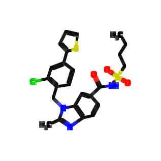 CCCCS(=O)(=O)NC(=O)c1ccc2nc(C)n(Cc3ccc(-c4cccs4)cc3Cl)c2c1